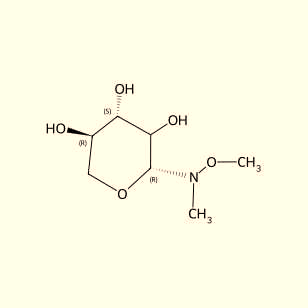 CON(C)[C@@H]1OC[C@@H](O)[C@H](O)C1O